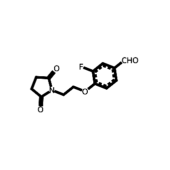 O=Cc1ccc(OCCN2C(=O)CCC2=O)c(F)c1